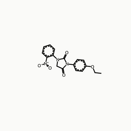 CCOc1ccc(N2C(=O)CN(c3ccccc3[N+](=O)[O-])C2=O)cc1